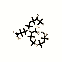 CC(C)(C)NC(C)(C)CC(C)(C)OC(C)(C)CC(C)(C)C(C(=O)C(C)(C)C)N(C(C)(C)CC(C)(C)C(=O)C(C)(C)I)C(C)(C)C(C)(C)C(=O)C(C)(C)C